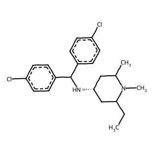 CCC1C[C@H](NC(c2ccc(Cl)cc2)c2ccc(Cl)cc2)CC(C)N1C